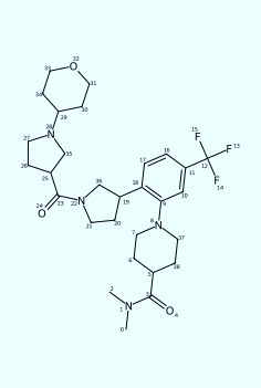 CN(C)C(=O)C1CCN(c2cc(C(F)(F)F)ccc2C2CCN(C(=O)C3CCN(C4CCOCC4)C3)C2)CC1